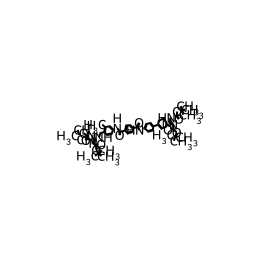 Cc1cc(NC(=O)c2ccc(C(=O)Nc3ccc(C4=CCN(/C(=N\C(=O)OC(C)(C)C)NC(=O)OC(C)(C)C)CC4)cc3)cc2)ccc1CN/C(=N\C(=O)OC(C)(C)C)NC(=O)OC(C)(C)C